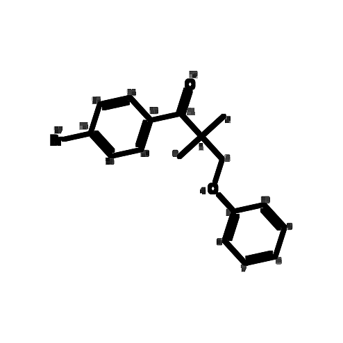 CC(C)(COc1ccccc1)C(=O)c1ccc(Br)cc1